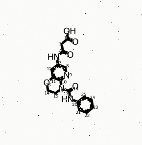 O=C(O)CC(=O)Nc1cnc2c(c1)OCCN2C(=O)Nc1ccccc1